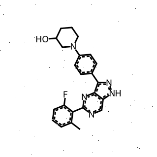 Cc1cccc(F)c1-c1ncc2[nH]nc(-c3ccc(N4CCCC(O)C4)cc3)c2n1